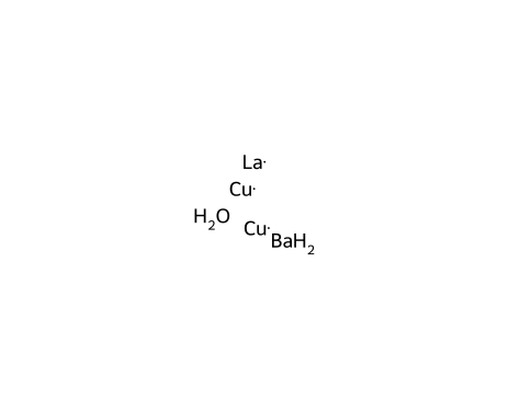 O.[BaH2].[Cu].[Cu].[La]